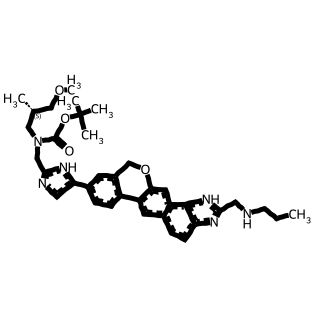 CCCNCc1nc2ccc3cc4c(cc3c2[nH]1)OCc1cc(-c2cnc(CN(C[C@H](C)COC)C(=O)OC(C)(C)C)[nH]2)ccc1-4